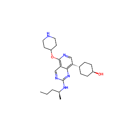 CCC[C@H](C)Nc1ncc2c(OC3CCNCC3)ncc([C@H]3CC[C@H](O)CC3)c2n1